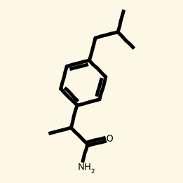 CC(C)Cc1ccc(C(C)C(N)=O)cc1